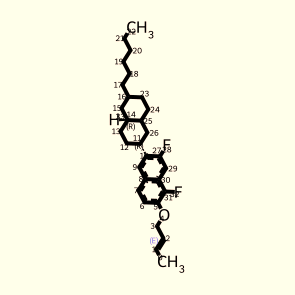 C/C=C/COc1ccc2cc([C@@H]3CC[C@@H]4CC(CCCCCC)CCC4C3)c(F)cc2c1F